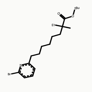 CCC(C)(CCCCCCc1cccc(Br)n1)C(=O)OC(C)(C)C